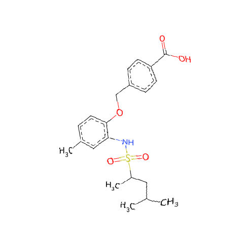 Cc1ccc(OCc2ccc(C(=O)O)cc2)c(NS(=O)(=O)C(C)CC(C)C)c1